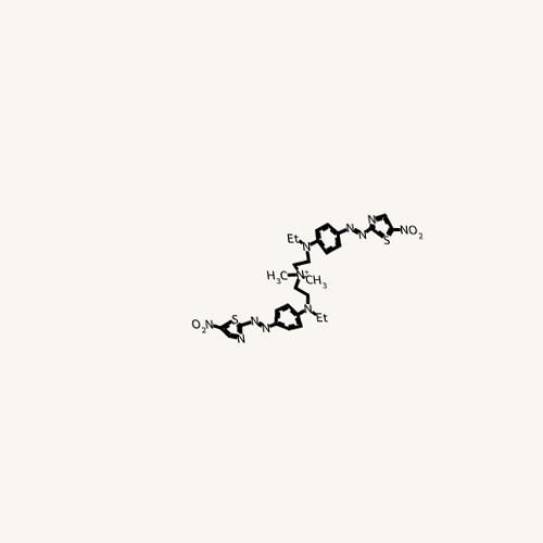 CCN(CC[N+](C)(C)CCN(CC)c1ccc(N=Nc2ncc([N+](=O)[O-])s2)cc1)c1ccc(N=Nc2ncc([N+](=O)[O-])s2)cc1